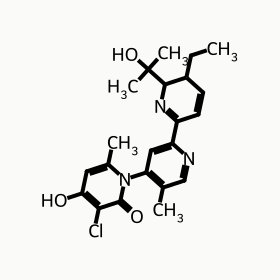 CCC1C=CC(c2cc(-n3c(C)cc(O)c(Cl)c3=O)c(C)cn2)=NC1C(C)(C)O